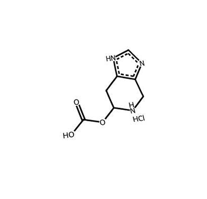 Cl.O=C(O)OC1Cc2[nH]cnc2CN1